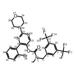 CN(Cc1cc(C(F)(F)F)cc(C(F)(F)F)c1)C(=O)Oc1cnc(N2CCOCC2)nc1-c1ccccc1Br